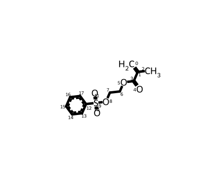 C=C(C)C(=O)OCCOS(=O)(=O)c1ccccc1